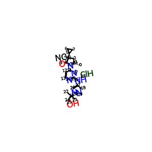 C[C@H]1C[C@@](C#N)(C2CC2)C(=O)N1c1ccnc(Nc2cnn(C(C)(C)CO)c2)n1.Cl